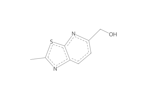 Cc1nc2ccc(CO)nc2s1